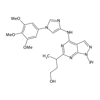 COc1cc(-n2cnc(Nc3nc(C(C)CCO)nc4c3cnn4C(C)C)c2)cc(OC)c1OC